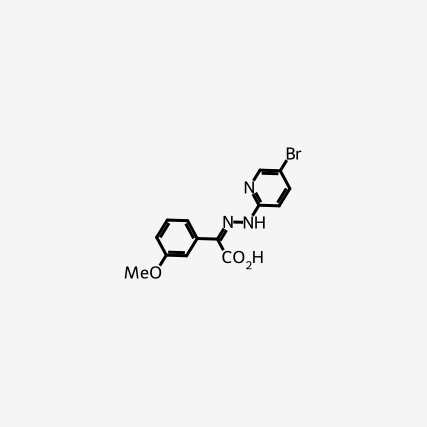 COc1cccc(/C(=N/Nc2ccc(Br)cn2)C(=O)O)c1